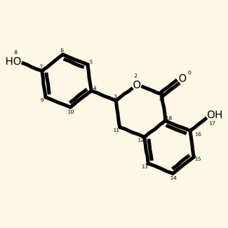 O=C1OC(c2ccc(O)cc2)Cc2cccc(O)c21